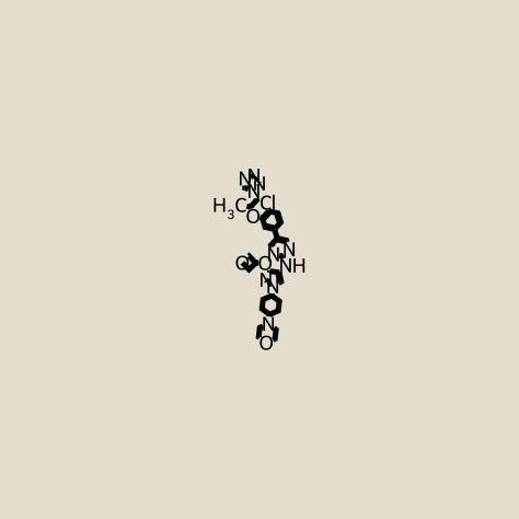 CC(Cn1cnnn1)Oc1cc(-c2cnc(Nc3cn(C4CCC(N5CCOCC5)CC4)nc3OC3COC3)nc2)ccc1Cl